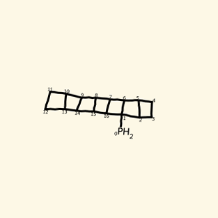 PC12C3CCC3C1C1C3C4C5CCC5C4C3C12